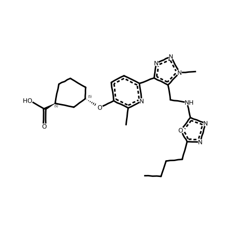 CCCCc1nnc(NCc2c(-c3ccc(O[C@H]4CCC[C@H](C(=O)O)C4)c(C)n3)nnn2C)o1